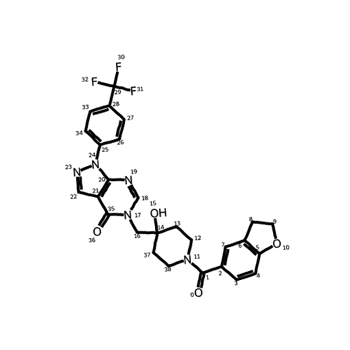 O=C(c1ccc2c(c1)CCO2)N1CCC(O)(Cn2cnc3c(cnn3-c3ccc(C(F)(F)F)cc3)c2=O)CC1